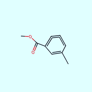 COC(=O)C1=C=C=CC(C)=C1